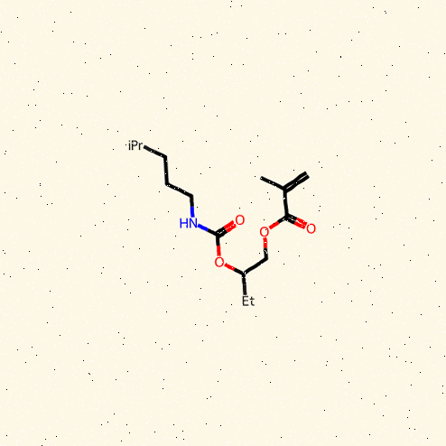 C=C(C)C(=O)OCC(CC)OC(=O)NCCCC(C)C